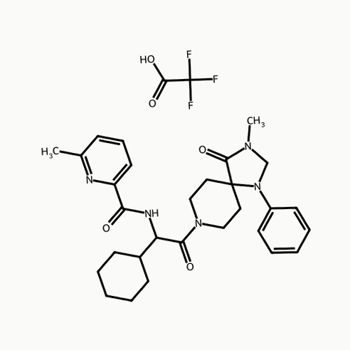 Cc1cccc(C(=O)NC(C(=O)N2CCC3(CC2)C(=O)N(C)CN3c2ccccc2)C2CCCCC2)n1.O=C(O)C(F)(F)F